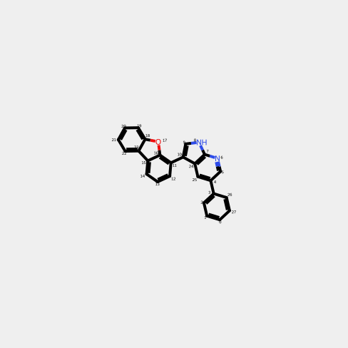 c1ccc(-c2cnc3[nH]cc(-c4cccc5c4oc4ccccc45)c3c2)cc1